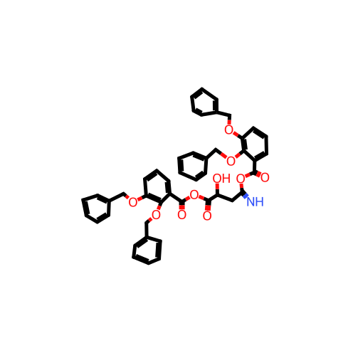 N=C(CC(O)C(=O)OC(=O)c1cccc(OCc2ccccc2)c1OCc1ccccc1)OC(=O)c1cccc(OCc2ccccc2)c1OCc1ccccc1